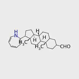 C[C@]12CCC(C=O)CC1CC[C@@H]1[C@@H]2CC[C@]2(C)C(C3=CC=CC=CN3)CC[C@@H]12